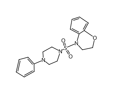 O=S(=O)(N1CCN(c2ccccc2)CC1)N1CCOc2ccccc21